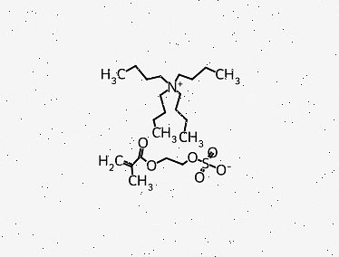 C=C(C)C(=O)OCCOS(=O)(=O)[O-].CCCC[N+](CCCC)(CCCC)CCCC